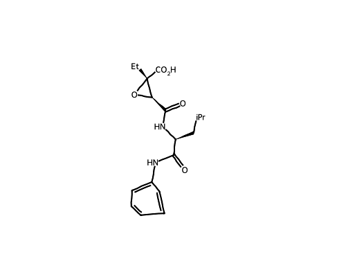 CC[C@]1(C(=O)O)O[C@@H]1C(=O)N[C@@H](CC(C)C)C(=O)Nc1ccccc1